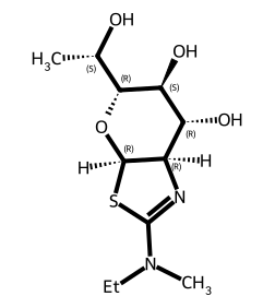 CCN(C)C1=N[C@@H]2[C@@H](O)[C@H](O)[C@@H]([C@H](C)O)O[C@@H]2S1